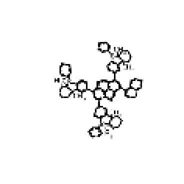 CC12CCCCC1(C)c1cc(-c3cc(-c4ccc5c(c4)C4(C)CCCCC4(C)B5c4ccccc4)c4ccc5c(-c6cccc7ccccc67)cc(-c6ccc7c(c6)C6(C)CCCCC6(C)B7c6ccccc6)c6ccc3c4c65)ccc1B2c1ccccc1